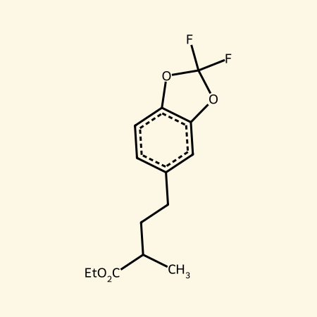 CCOC(=O)C(C)CCc1ccc2c(c1)OC(F)(F)O2